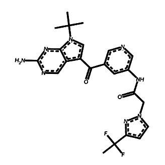 CC(F)(F)c1ccn(CC(=O)Nc2cncc(C(=O)c3cn(C(C)(C)C)c4nc(N)ncc34)c2)n1